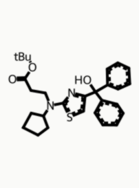 CC(C)(C)OC(=O)CCN(c1nc(C(O)(c2ccccc2)c2ccccc2)cs1)C1CCCC1